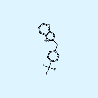 FC(F)(F)c1ccc(Cc2cc3ncccc3[nH]2)cc1